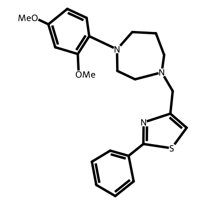 COc1ccc(N2CCCN(Cc3csc(-c4ccccc4)n3)CC2)c(OC)c1